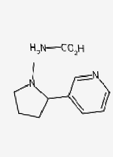 CN1CCCC1c1cccnc1.NC(=O)O